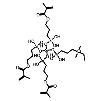 C=C(C)C(=O)OCCC[Si](O)(O)O[Si](O[Si](O)(O)CCCOC(=O)C(=C)C)(O[Si](O)(O)CCCOC(=O)C(=C)C)O[Si](O)(O)CCC[N+](C)(C)CC